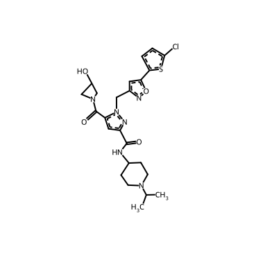 CC(C)N1CCC(NC(=O)c2cc(C(=O)N3CC(O)C3)n(Cc3cc(-c4ccc(Cl)s4)on3)n2)CC1